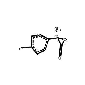 N[C@]1(c2ccc(F)cc2)OC1=O